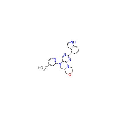 O=C(O)c1ccnc(N2CC3COCCN3c3nc(-c4cccc5[nH]ccc45)ncc32)c1